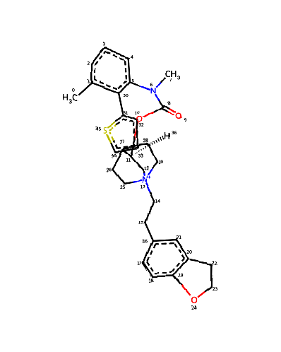 Cc1cccc(N(C)C(=O)O[C@H]2C[N+]3(CCc4ccc5c(c4)CCO5)CCC2CC3)c1-c1cccs1